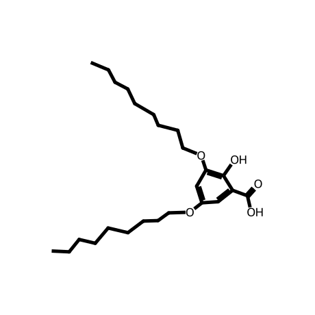 CCCCCCCCCOc1cc(OCCCCCCCCC)c(O)c(C(=O)O)c1